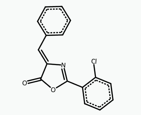 O=C1OC(c2ccccc2Cl)=NC1=Cc1ccccc1